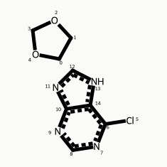 C1COCO1.Clc1ncnc2nc[nH]c12